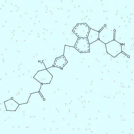 CC1(n2cc(Cc3ccc4c5c(cccc35)C(=O)N4C3CCC(=O)NC3=O)cn2)CCN(C(=O)CCC2CCCO2)CC1